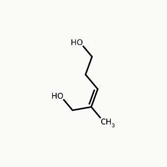 CC(=CCCO)CO